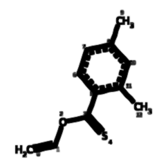 C=COC(=S)c1ccc(C)cc1C